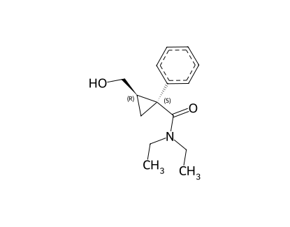 CCN(CC)C(=O)[C@@]1(c2ccccc2)C[C@H]1CO